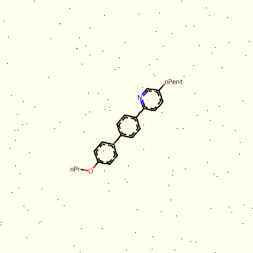 CCCCCc1ccc(-c2ccc(-c3ccc(OCCC)cc3)cc2)nc1